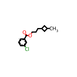 CC1CC(CCCOC(=O)c2[c]ccc(Cl)c2)C1